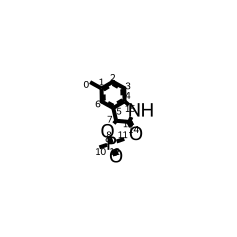 Cc1ccc2c(c1)C(OP(C)(C)=O)C(=O)N2